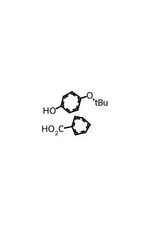 CC(C)(C)Oc1ccc(O)cc1.O=C(O)c1ccccc1